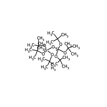 CC(C)(C)O[Si](OC(C)(C)C)(OC(C)(C)C)[O][Zr]([O]C(C)(C)C)([O]C(C)(C)C)[O]C(C)(C)C